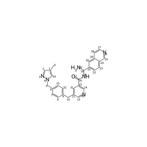 Cc1cnn(Cc2ccc(Cc3cncc(C(=O)NC(N)c4ccc5cnccc5c4)c3)cc2)c1